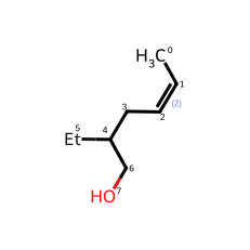 C/C=C\CC(CC)CO